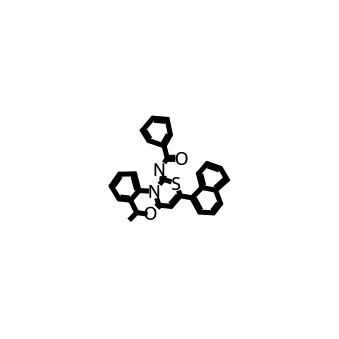 CC(C)c1ccccc1-n1c(=O)cc(-c2cccc3ccccc23)sc1=NC(=O)c1ccccc1